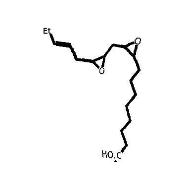 CCC=CCC1OC1CC1OC1CCCCCCCC(=O)O